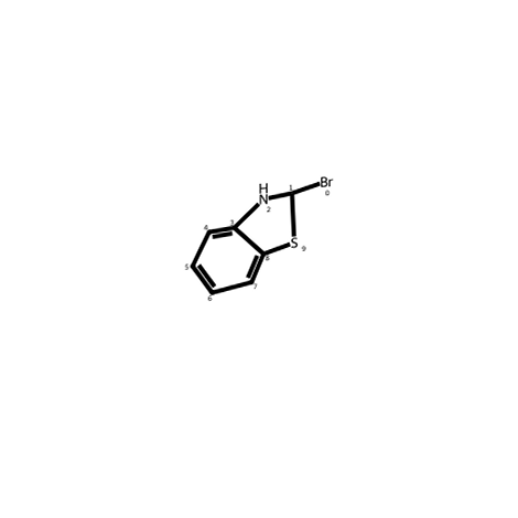 BrC1Nc2ccccc2S1